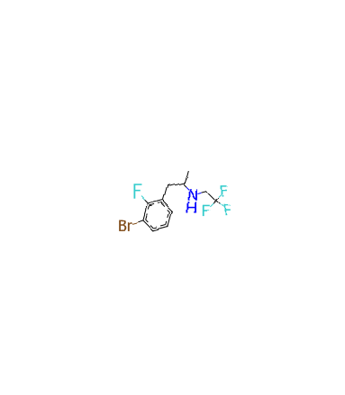 CC(Cc1cccc(Br)c1F)NCC(F)(F)F